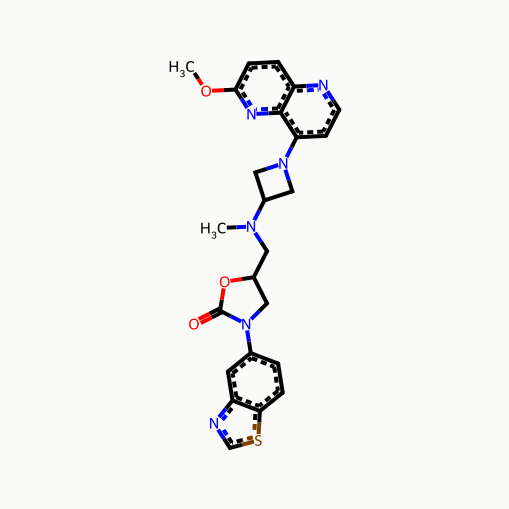 COc1ccc2nccc(N3CC(N(C)CC4CN(c5ccc6scnc6c5)C(=O)O4)C3)c2n1